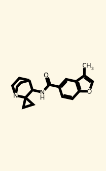 Cc1coc2ccc(C(=O)NC3C4CCN(CC4)C34CC4)cc12